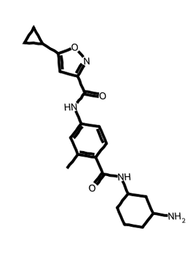 Cc1cc(NC(=O)c2cc(C3CC3)on2)ccc1C(=O)NC1CCCC(N)C1